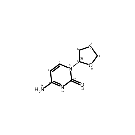 Nc1ccn([C@@H]2CSCO2)c(=O)n1